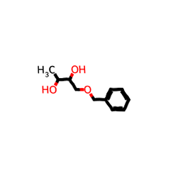 CC(O)C(O)COCc1ccccc1